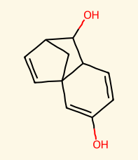 OC1=CC23C=CC(C2)C(O)C3C=C1